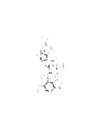 COC1COc2c(S(N)(=O)=NC(=O)Nc3c4c(cc5c3CCC5C)CCC4)cnn2C1